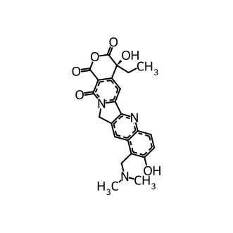 CC[C@@]1(O)C(=O)OC(=O)c2c1cc1n(c2=O)Cc2cc3c(CN(C)C)c(O)ccc3nc2-1